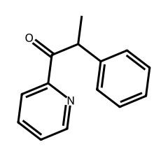 CC(C(=O)c1ccccn1)c1ccccc1